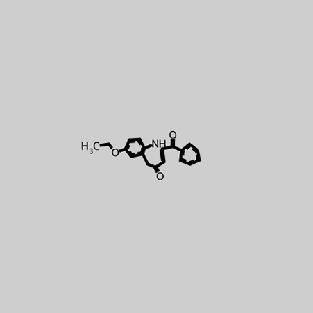 CCOc1ccc2c(c1)CC(=O)C=C(C(=O)c1ccccc1)N2